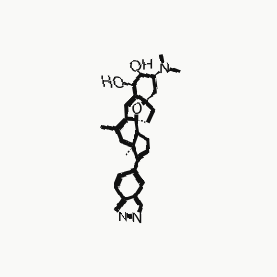 CC1=C2C=C3[C@@H](O)[C@H](O)[C@@H](N(C)C)C[C@]34CC[C@]2(O4)C2CC=C(c3ccc4cnncc4c3)[C@@]2(C)C1